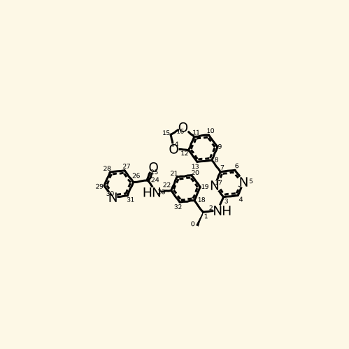 C[C@H](Nc1cncc(-c2ccc3c(c2)OCO3)n1)c1cccc(NC(=O)c2cccnc2)c1